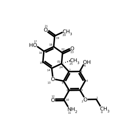 CCOc1cc(O)c2c(c1C(N)=O)OC1=CC(O)=C(C(C)=O)C(=O)[C@]12C